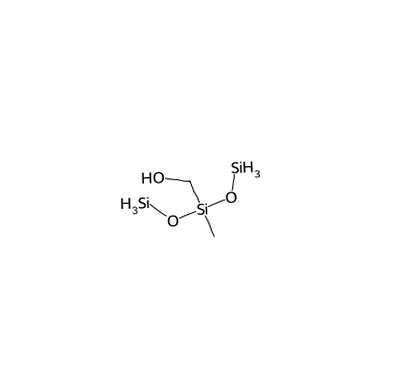 C[Si](CO)(O[SiH3])O[SiH3]